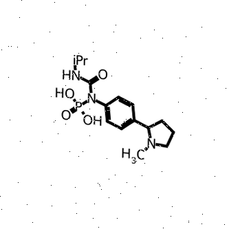 CC(C)NC(=O)N(c1ccc(C2CCCN2C)cc1)P(=O)(O)O